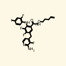 C=CCCCONC(=O)c1cc(Cc2ccnc(N)c2F)c(F)c(F)c1Nc1ccc(I)cc1F